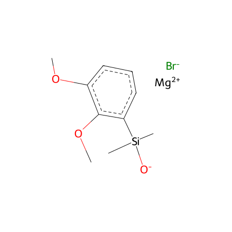 COc1cccc([Si](C)(C)[O-])c1OC.[Br-].[Mg+2]